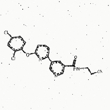 N#CCCNC(=O)c1cncc(-c2cccc(Oc3ccc(Cl)cc3Cl)n2)c1